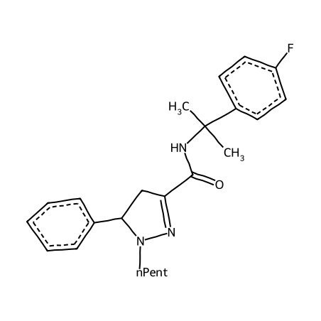 CCCCCN1N=C(C(=O)NC(C)(C)c2ccc(F)cc2)CC1c1ccccc1